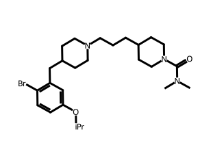 CC(C)Oc1ccc(Br)c(CC2CCN(CCCC3CCN(C(=O)N(C)C)CC3)CC2)c1